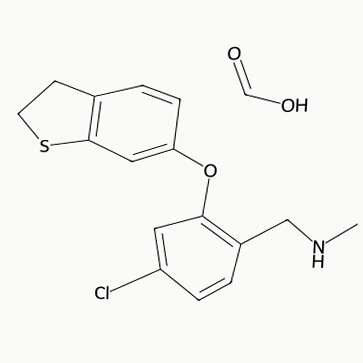 CNCc1ccc(Cl)cc1Oc1ccc2c(c1)SCC2.O=CO